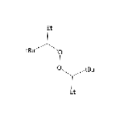 CCC(OOC(CC)C(C)(C)C)C(C)(C)C